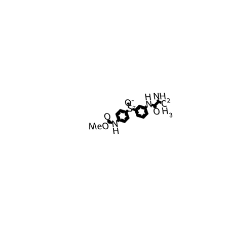 COC(=O)Nc1ccc([S+]([O-])c2cccc(NC(=O)C(C)N)c2)cc1